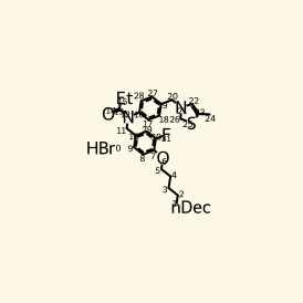 Br.CCCCCCCCCCCCCCOc1ccc(CN(C(=O)CC)c2ccc(CN3C=C(C)SC3)cc2)cc1F